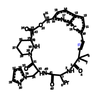 CC(C)C1NC(=O)C(C)(C)/C=C/c2ccc3ccc(nc3c2)[C@@H](C)OC(=O)[C@@H]2CCCN(N2)C(=O)C(Cn2cccn2)NC1=O